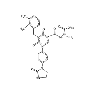 COC(=O)[C@H](C)NC(=O)c1cn(-c2ccc(N3CCNC3=O)cc2)c(=O)n(Cc2cccc(C(F)(F)F)c2C)c1=O